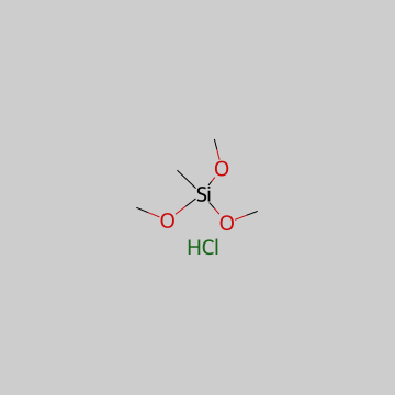 CO[Si](C)(OC)OC.Cl